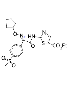 CCOC(=O)c1cnc(NC(=O)/C(=N/OC2CCCC2)c2ccc(S(C)(=O)=O)cc2)s1